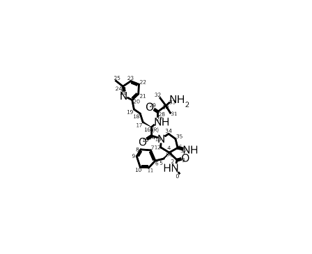 CNC(=O)[C@]1(Cc2ccccc2)CN(C(=O)[C@@H](CCCc2cccc(C)n2)NC(=O)C(C)(C)N)CCC1=N